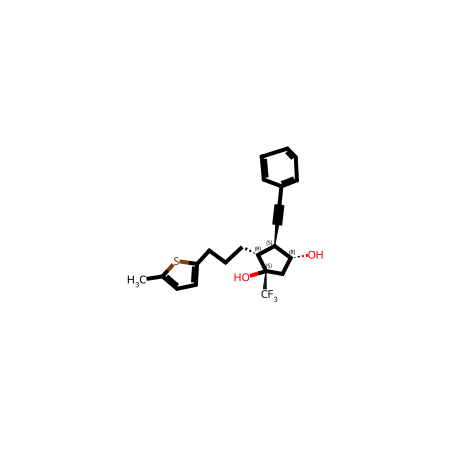 Cc1ccc(CCC[C@@H]2[C@@H](C#Cc3ccccc3)[C@H](O)C[C@@]2(O)C(F)(F)F)s1